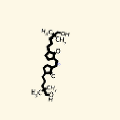 CC(C)(CO)CCCC1CCC(/C=C\C2CCC(CCCC(C)(C)CO)C2=O)C1=O